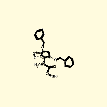 CCCCCCO[C@H]1[C@H](N(C)C(=O)OC(C)(C)C)[C@@H](OCc2ccccc2)C[C@H]1OCc1ccccc1